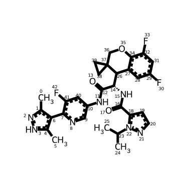 Cc1n[nH]c(C)c1-c1ncc(NC(=O)[C@@H](NC(=O)c2ccnn2C(C)C)C2c3cc(F)cc(F)c3OCC23CC3)cc1F